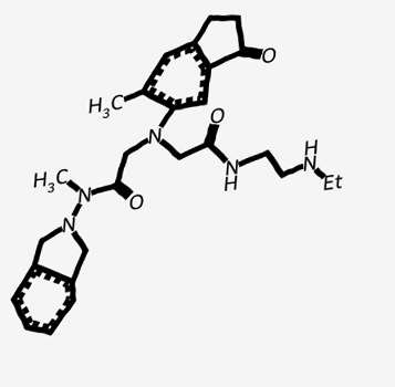 CCNCCNC(=O)CN(CC(=O)N(C)N1Cc2ccccc2C1)c1cc2c(cc1C)CCC2=O